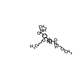 C=CCCCOc1cc(C(=O)NCC)ccc1-n1cc(C(=O)NCCCOCC)nn1